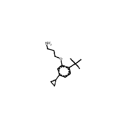 CC(C)(C)c1ccc(C2CC2)cc1OCCCN